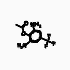 CC(=O)Oc1c(N)cc(C(F)(F)F)cc1N